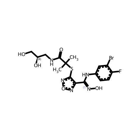 CC(C)(Sc1nonc1/C(=N/O)Nc1ccc(F)c(Br)c1)C(=O)NC[C@@H](O)CO